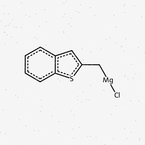 [Cl][Mg][CH2]c1cc2ccccc2s1